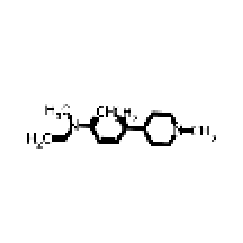 C=CN(C)C(=C)/C=C\C(=C)C1CCN(C)CC1